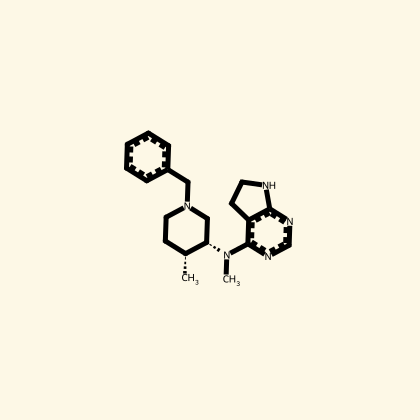 C[C@@H]1CCN(Cc2ccccc2)C[C@@H]1N(C)c1ncnc2c1CCN2